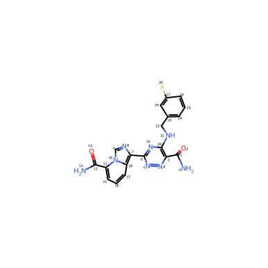 NC(=O)c1nnc(-c2ncn3c(C(N)=O)cccc23)nc1NCc1cccc(F)c1